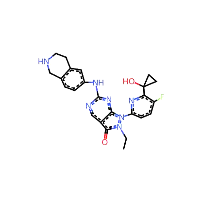 CCn1c(=O)c2cnc(Nc3ccc4c(c3)CCNC4)nc2n1-c1ccc(F)c(C2(O)CC2)n1